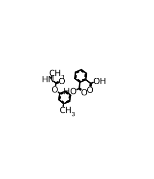 CNC(=O)Oc1cccc(C)c1.O=C(O)c1ccccc1C(=O)O